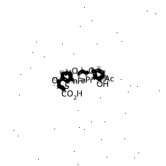 CCCc1c(OCCCOc2ccc3c(=O)cc(C(=O)O)sc3c2CCC)ccc(C(C)=O)c1O